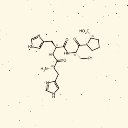 CC(C)C[C@H](NC(=O)[C@H](Cc1c[nH]cn1)NC(=O)[C@@H](N)Cc1c[nH]cn1)C(=O)N1CCC[C@H]1C(=O)O